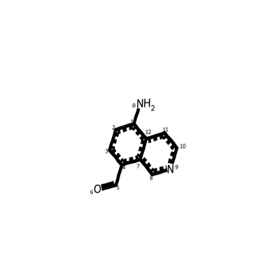 Nc1ccc(C=O)c2cnccc12